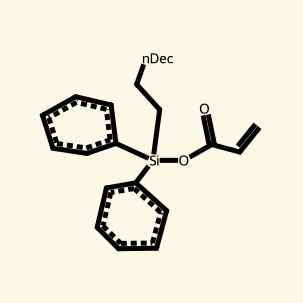 C=CC(=O)O[Si](CCCCCCCCCCCC)(c1ccccc1)c1ccccc1